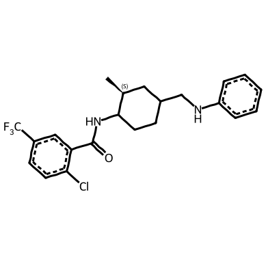 C[C@H]1CC(CNc2ccccc2)CCC1NC(=O)c1cc(C(F)(F)F)ccc1Cl